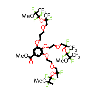 COC(=O)c1cc(OCCCOCC(F)(OC(F)(F)C(F)(OC)C(F)(F)F)C(F)(F)F)c(OCCOCC(F)(OC(F)(F)C(F)(OC)C(F)(F)F)C(F)(F)F)c(OCCOCC(C)(F)OC(F)(F)C(C)(F)OC)c1